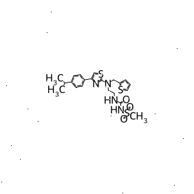 CC(C)c1ccc(-c2csc(N(CCNC(=O)NS(C)(=O)=O)Cc3cccs3)n2)cc1